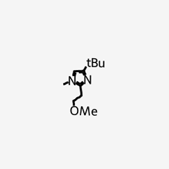 COCCc1nc(C(C)(C)C)cn1C